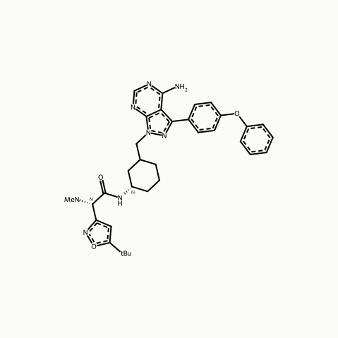 CN[C@H](C(=O)N[C@H]1CCCC(Cn2nc(-c3ccc(Oc4ccccc4)cc3)c3c(N)ncnc32)C1)c1cc(C(C)(C)C)on1